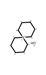 C1CC[N+]2(CC1)CCCCC2.[OH-]